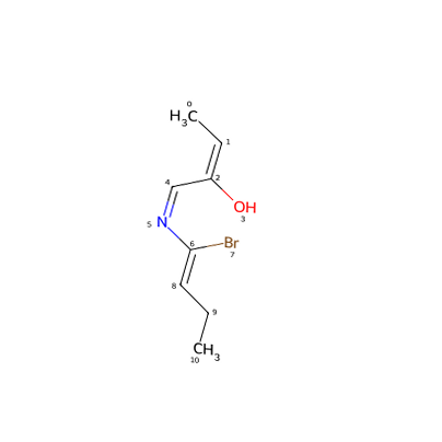 C\C=C(O)/C=N\C(Br)=C\CC